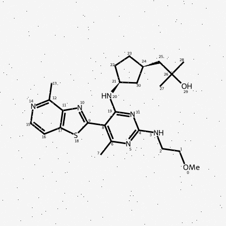 COCCNc1nc(C)c(-c2nc3c(C)nccc3s2)c(N[C@H]2CC[C@@H](CC(C)(C)O)C2)n1